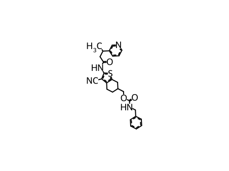 CC(CC(=O)Nc1sc2c(c1C#N)CCC(COC(=O)NCc1ccccc1)C2)c1cccnc1